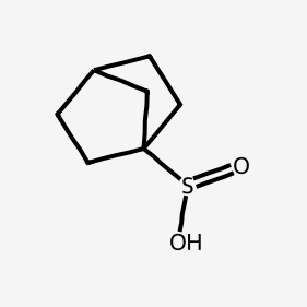 O=S(O)C12CCC(CC1)C2